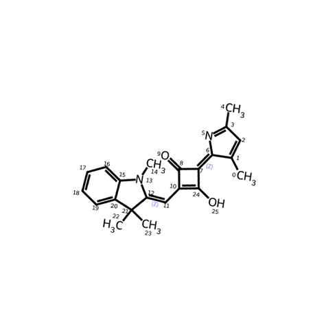 CC1=CC(C)=N/C1=C1\C(=O)C(/C=C2\N(C)c3ccccc3C2(C)C)=C1O